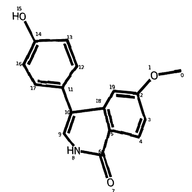 COc1ccc2c(=O)[nH]cc(-c3ccc(O)cc3)c2c1